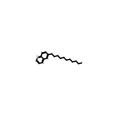 CCCCCCCCCCCc1ccc2ncccc2c1